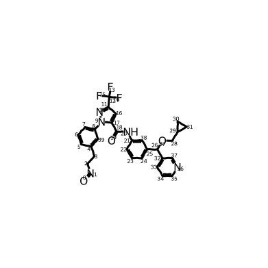 O=NCCc1cccc(-n2nc(C(F)(F)F)cc2C(=O)Nc2cccc(C(OCC3CC3)c3cccnc3)c2)c1